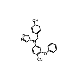 N#Cc1ccc(N(CC2=CCC(O)C=C2)n2cnnc2)cc1Oc1ccccc1